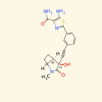 CN1C(=O)[C@@](O)(C#Cc2cccc(-c3nc(C(N)=O)c(N)s3)c2)[C@@H]2CC[C@@H]21